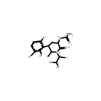 CC1C(c2c(F)ccc(F)c2F)CC(OC(N)=O)C(=O)N1C(F)C(F)F